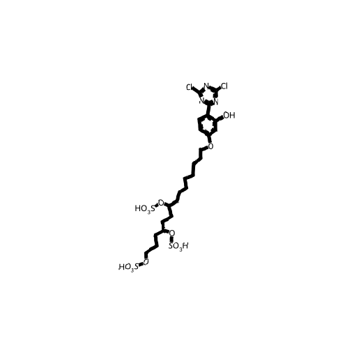 O=S(=O)(O)OCCCC(CCC(CCCCCCCCOc1ccc(-c2nc(Cl)nc(Cl)n2)c(O)c1)OS(=O)(=O)O)OS(=O)(=O)O